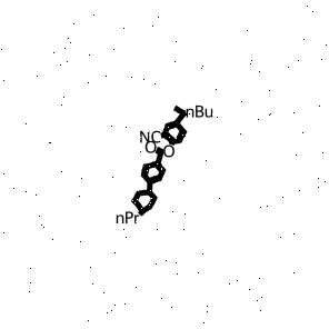 CCCCC(C)c1ccc(OC(=O)c2ccc(C3CCC(CCC)CC3)cc2)c(C#N)c1